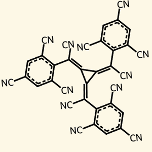 N#CC(=C1C(=C(C#N)c2c(C#N)cc(C#N)cc2C#N)C1=C(C#N)c1c(C#N)cc(C#N)cc1C#N)c1c(C#N)cc(C#N)cc1C#N